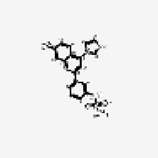 CS(=O)(=O)Nc1cccc(-c2cc(-n3ccnc3)c3ccc(Cl)cc3n2)c1